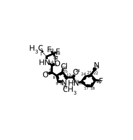 CC[C@@H](NC(=O)C(=O)c1cn(C)c(C(=O)Nc2ccc(F)c(C#N)c2)c1Cl)C(F)(F)F